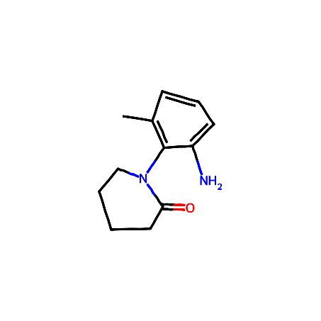 Cc1cccc(N)c1N1CCCCC1=O